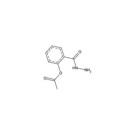 CC(=O)Oc1ccccc1C(=O)NN